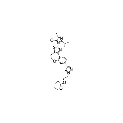 CC(C)c1nn(C)c(=O)n1-c1nc2c(s1)CCOc1cc(-c3cnn(CCOC4CCCCO4)c3)ccc1-2